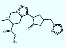 C[C@H]1Cn2ncc(N3CC(Cn4cccn4)CC3=O)c2CN1C(=O)OC(C)(C)C